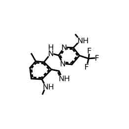 CNc1ccc(C)c(Nc2ncc(C(F)(F)F)c(NC)n2)c1C=N